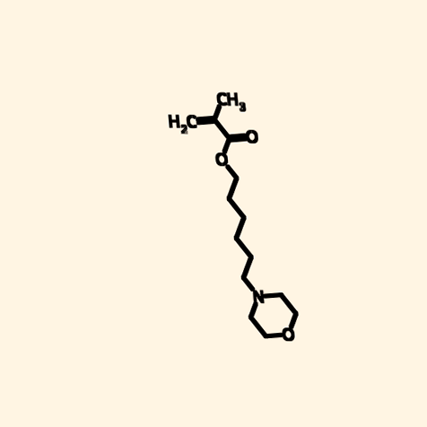 C=C(C)C(=O)OCCCCCCN1CCOCC1